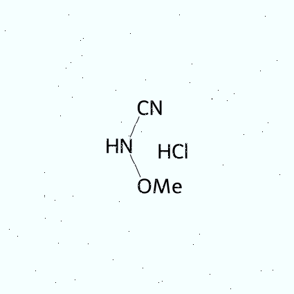 CONC#N.Cl